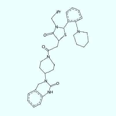 CC(C)CN1C(=O)C(CC(=O)N2CCC(N3Cc4ccccc4NC3=O)CC2)SC1c1ccccc1N1CCCCC1